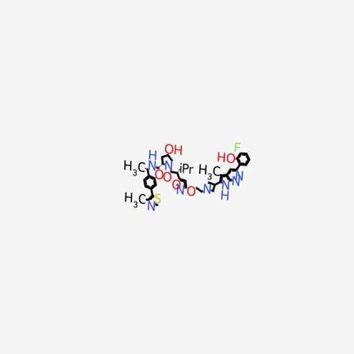 Cc1ncsc1-c1ccc([C@H](C)NC(=O)[C@@H]2C[C@@H](O)CN2C(=O)[C@@H](c2cc(OCCN3CC(c4[nH]c5nnc(-c6cccc(F)c6O)cc5c4C)C3)no2)C(C)C)cc1